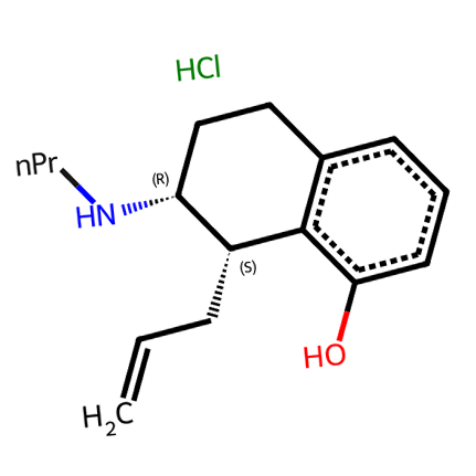 C=CC[C@H]1c2c(O)cccc2CC[C@H]1NCCC.Cl